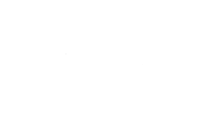 c1ccc(-c2ccc(-c3cc(-c4ccc(-c5ccc(-c6ccccc6)s5)cc4)c4ccc5cccc6ccc3c4c65)cc2)cc1